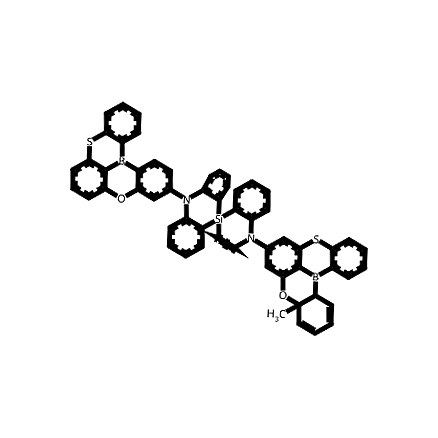 CC12C=CC=CC1B1c3ccccc3Sc3cc(N4c5ccccc5[Si]5(c6ccccc6N(c6ccc7c(c6)Oc6cccc8c6B7c6ccccc6S8)c6ccccc65)c5ccccc54)cc(c31)O2